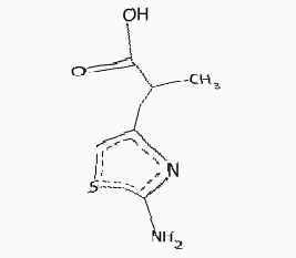 CC(C(=O)O)c1csc(N)n1